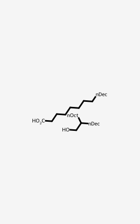 CCCCCCCCCCC(CO)CCCCCCCC.CCCCCCCCCCCCCCCCCC(=O)O